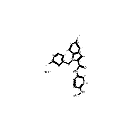 CCCNc1ccc(NC(=O)c2cc3cc(F)ccc3n2Cc2cccc(F)c2)cn1.Cl